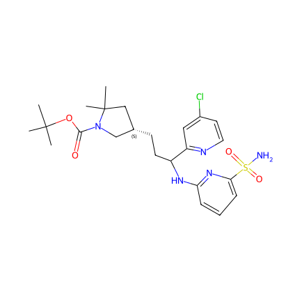 CC(C)(C)OC(=O)N1C[C@@H](CCC(Nc2cccc(S(N)(=O)=O)n2)c2cc(Cl)ccn2)CC1(C)C